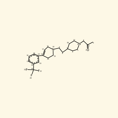 CC(=O)CN1CCC(CCN2CC=C(c3cccc(C(F)(F)F)c3)CC2)CC1